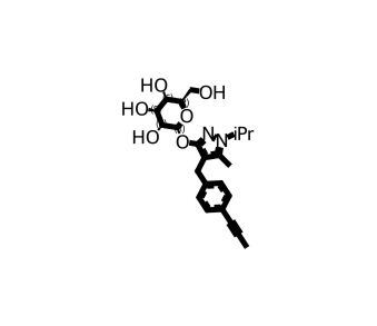 CC#Cc1ccc(Cc2c(O[C@H]3O[C@H](CO)[C@@H](O)[C@H](O)[C@H]3O)nn(C(C)C)c2C)cc1